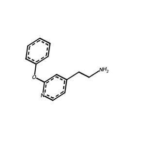 NCCc1ccnc(Oc2ccccc2)c1